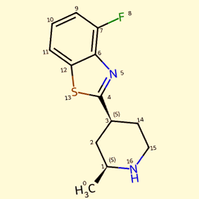 C[C@H]1C[C@@H](c2nc3c(F)cccc3s2)CCN1